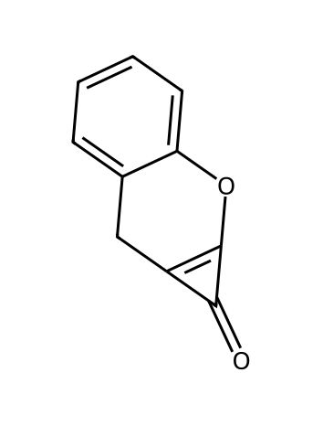 O=c1c2c1Oc1ccccc1C2